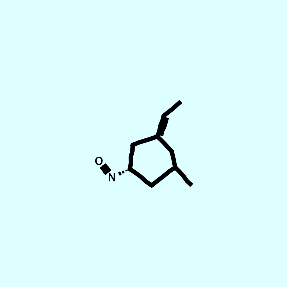 C/C=C1\CC(C)C[C@H](N=O)C1